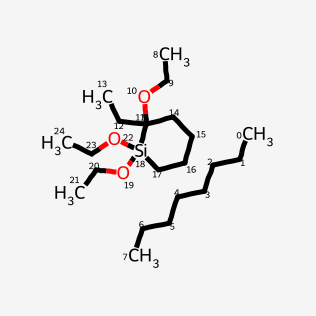 CCCCCCCC.CCOC1(CC)CCCC[Si]1(OCC)OCC